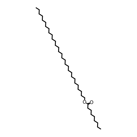 CCCCCCCCCCCCCCCCCCCCCCCCCCCCCCOC(=O)CCCCCCCC